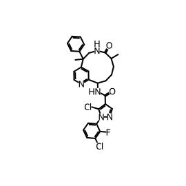 CC1CCCC(NC(=O)c2cnn(-c3cccc(Cl)c3F)c2Cl)c2cc(ccn2)C(C)(c2ccccc2)CNC1=O